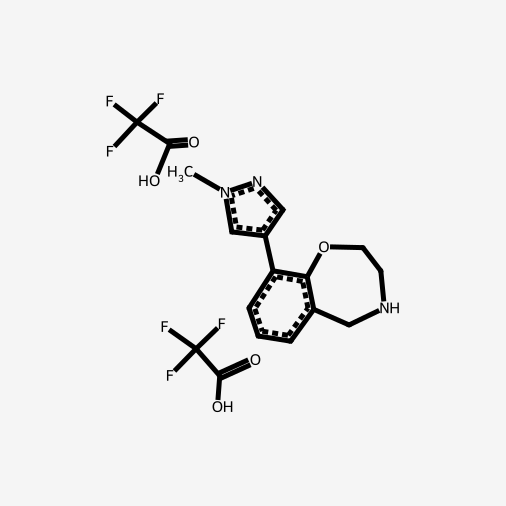 Cn1cc(-c2cccc3c2OCCNC3)cn1.O=C(O)C(F)(F)F.O=C(O)C(F)(F)F